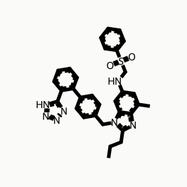 CCCc1nc2c(C)cc(NCS(=O)(=O)c3ccccc3)cc2n1Cc1ccc(-c2ccccc2-c2nnn[nH]2)cc1